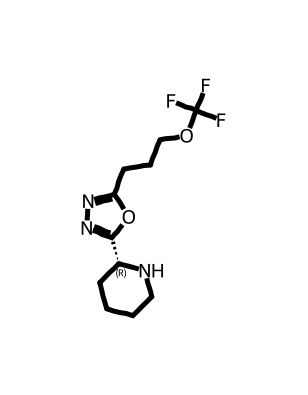 FC(F)(F)OCCCc1nnc([C@H]2CCCCN2)o1